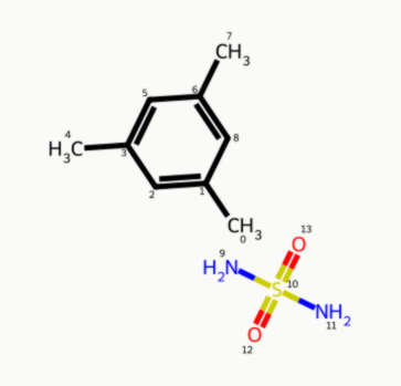 Cc1cc(C)cc(C)c1.NS(N)(=O)=O